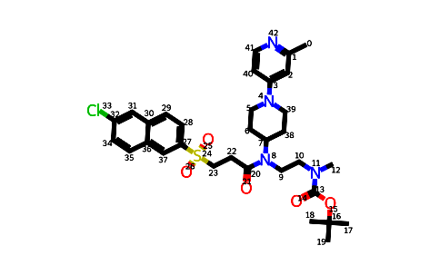 Cc1cc(N2CCC(N(CCN(C)C(=O)OC(C)(C)C)C(=O)CCS(=O)(=O)c3ccc4cc(Cl)ccc4c3)CC2)ccn1